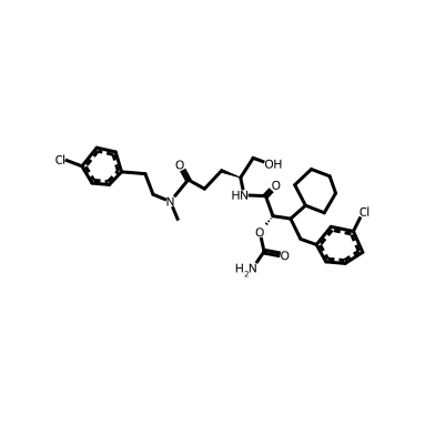 CN(CCc1ccc(Cl)cc1)C(=O)CC[C@@H](CO)NC(=O)[C@@H](OC(N)=O)C(Cc1cccc(Cl)c1)C1CCCCC1